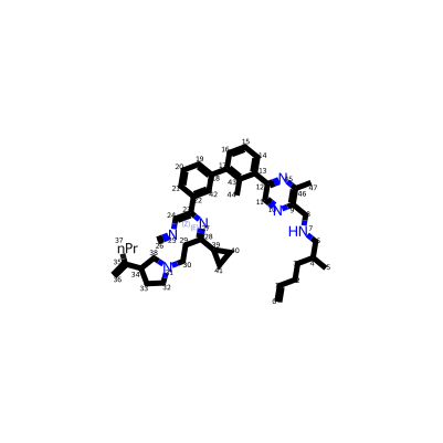 C=CCCC(C)CNCc1ncc(-c2cccc(-c3cccc(C(=C/N=C)/N=C(\CCN4CCC(C(=C)CCC)C4)C4CC4)c3)c2C)nc1C